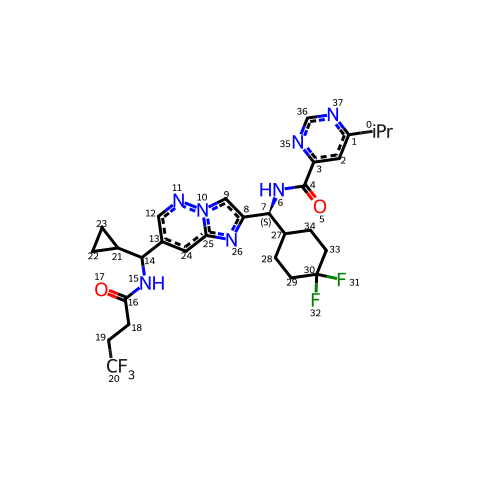 CC(C)c1cc(C(=O)N[C@H](c2cn3ncc(C(NC(=O)CCC(F)(F)F)C4CC4)cc3n2)C2CCC(F)(F)CC2)ncn1